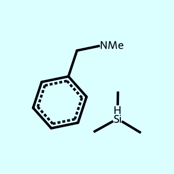 CNCc1ccccc1.C[SiH](C)C